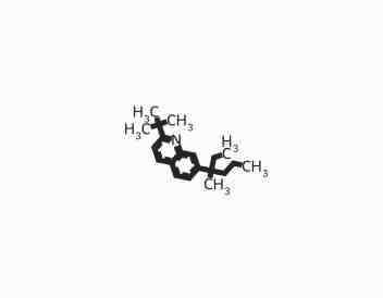 CCCC(C)(CC)c1ccc2ccc(C(C)(C)C)nc2c1